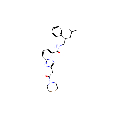 CC(C)CC(CNC(=O)c1cccc2nc(CC(=O)N3CCSCC3)cn12)c1ccccc1